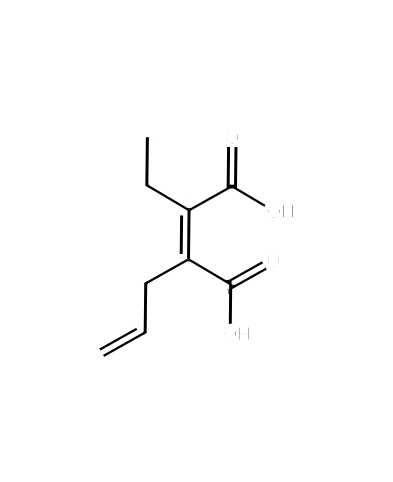 C=CC/C(C(=O)O)=C(\CC)C(=O)O